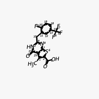 Cc1c(C(=O)O)sc2nc(Cc3cc(C(F)(F)F)ccc3F)[nH]c(=O)c12